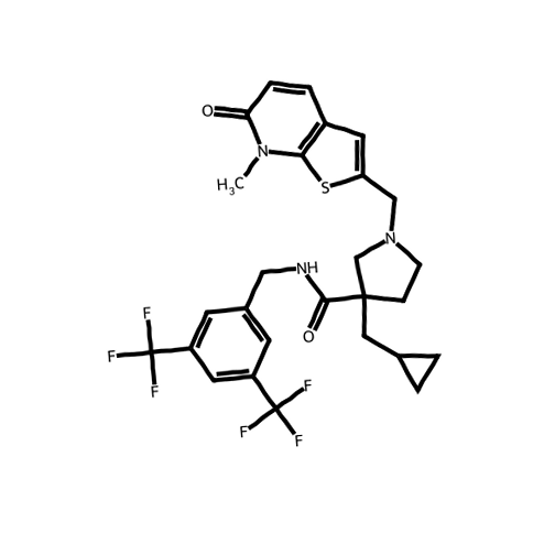 Cn1c(=O)ccc2cc(CN3CCC(CC4CC4)(C(=O)NCc4cc(C(F)(F)F)cc(C(F)(F)F)c4)C3)sc21